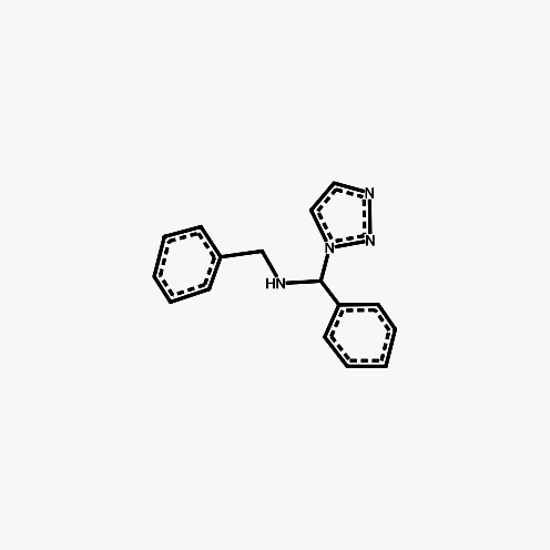 c1ccc(CNC(c2ccccc2)n2ccnn2)cc1